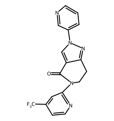 O=C1c2cn(-c3cccnc3)nc2CCN1c1cc(C(F)(F)F)ccn1